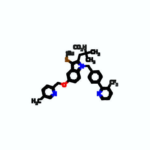 Cc1ccc(COc2ccc3c(c2)c(SC(C)(C)C)c(CC(C)(C)C(=O)O)n3Cc2ccc(-c3ncccc3C(F)(F)F)cc2)nc1